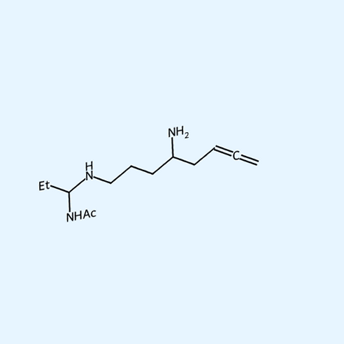 C=C=CCC(N)CCCNC(CC)NC(C)=O